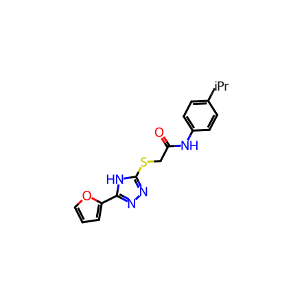 CC(C)c1ccc(NC(=O)CSc2nnc(-c3ccco3)[nH]2)cc1